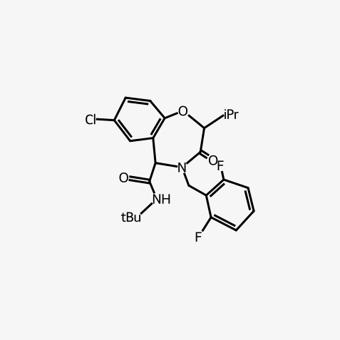 CC(C)C1Oc2ccc(Cl)cc2C(C(=O)NC(C)(C)C)N(Cc2c(F)cccc2F)C1=O